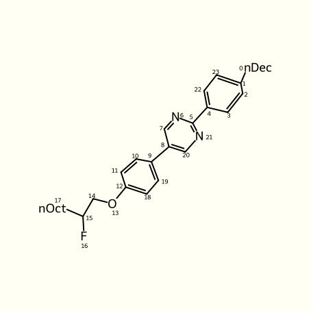 CCCCCCCCCCc1ccc(-c2ncc(-c3ccc(OCC(F)CCCCCCCC)cc3)cn2)cc1